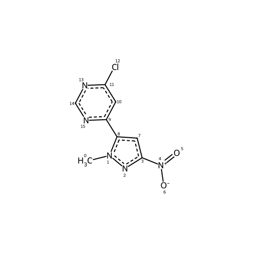 Cn1nc([N+](=O)[O-])cc1-c1cc(Cl)ncn1